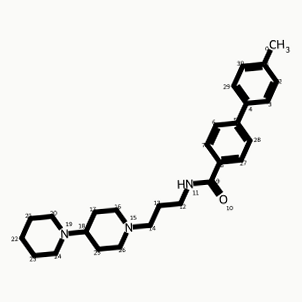 Cc1ccc(-c2ccc(C(=O)NCCCN3CCC(N4CCCCC4)CC3)cc2)cc1